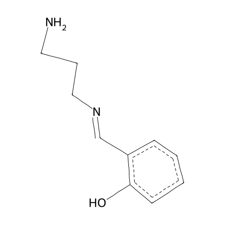 NCCCN=Cc1ccccc1O